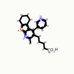 Cc1nc2sc3c(c2c(-c2cccnc2)c1CCCCC(=O)O)CCCC3